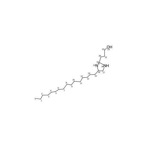 CCCCCCCCCCCCCCCCC1CNC(CCCO)=N1